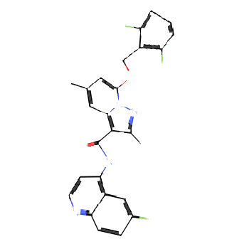 Cc1cc(OCc2c(F)cccc2F)n2nc(C)c(C(=O)Nc3ccnc4ccc(F)cc34)c2c1